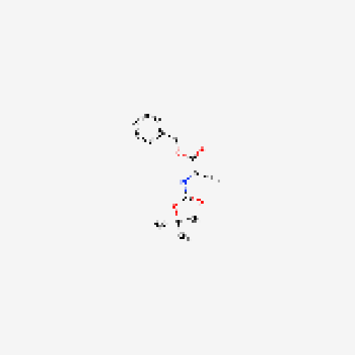 [CH2]C(NC(=O)OC(C)(C)C)C(=O)OCc1ccccc1